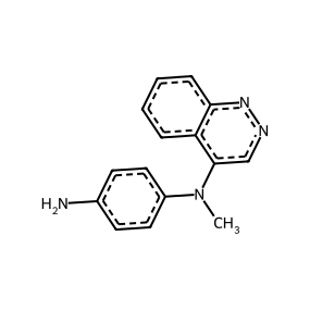 CN(c1ccc(N)cc1)c1cnnc2ccccc12